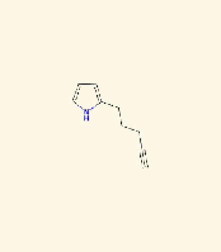 [C]#CCCCc1ccc[nH]1